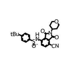 CC(C)(C)c1ccc([S+]([O-])Nc2ccc(C#N)c3c2C(=O)N(C2CCOCC2)C3=O)cc1